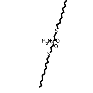 CCCCCCCCCCCCSCCC(=O)N(N)C(=O)CCSCCCCCCCCCCCC